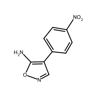 Nc1oncc1-c1ccc([N+](=O)[O-])cc1